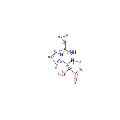 O=c1ccn2c(c1O)-c1nccn1C(C1CC1)N2